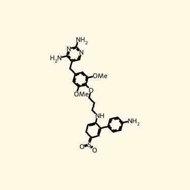 COc1cc(Cc2cnc(N)nc2N)cc(OC)c1OCCCNC1=CCC(=S(=O)=O)C=C1c1ccc(N)cc1